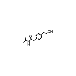 CC(C)NC(=O)Cc1ccc(CCO)cc1